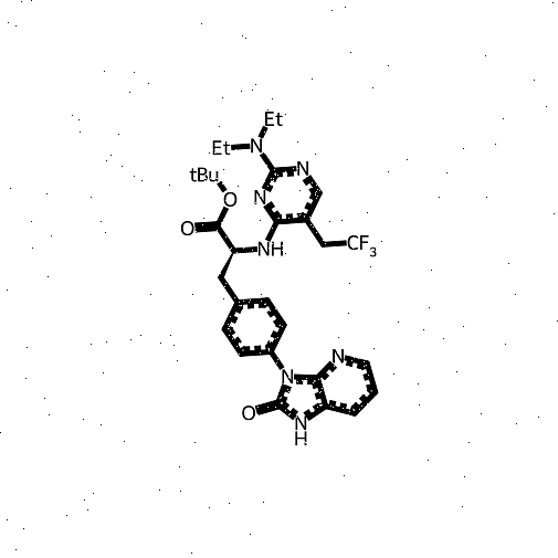 CCN(CC)c1ncc(CC(F)(F)F)c(N[C@@H](Cc2ccc(-n3c(=O)[nH]c4cccnc43)cc2)C(=O)OC(C)(C)C)n1